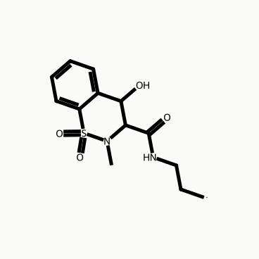 [CH2]CCNC(=O)C1C(O)c2ccccc2S(=O)(=O)N1C